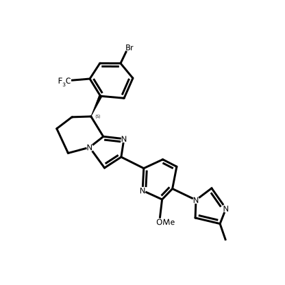 COc1nc(-c2cn3c(n2)[C@H](c2ccc(Br)cc2C(F)(F)F)CCC3)ccc1-n1cnc(C)c1